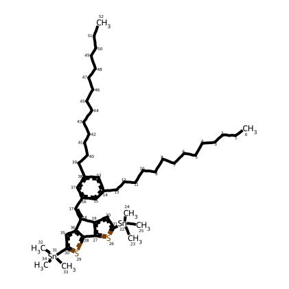 CCCCCCCCCCCCCCc1cc(C=C2c3c[c]([Sn]([CH3])([CH3])[CH3])sc3-c3s[c]([Sn]([CH3])([CH3])[CH3])cc32)cc(CCCCCCCCCCCCCC)c1